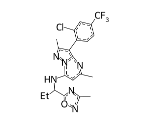 CCC(Nc1cc(C)nc2c(-c3ccc(C(F)(F)F)cc3Cl)c(C)nn12)c1nc(C)no1